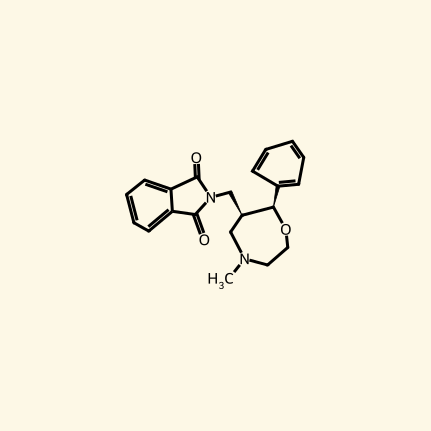 CN1CCO[C@H](c2ccccc2)[C@H](CN2C(=O)c3ccccc3C2=O)C1